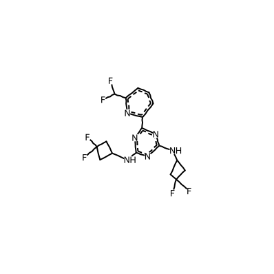 FC(F)c1cccc(-c2nc(NC3CC(F)(F)C3)nc(NC3CC(F)(F)C3)n2)n1